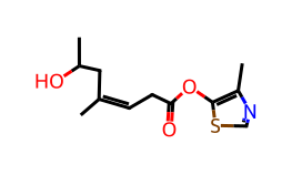 CC(=CCC(=O)Oc1scnc1C)CC(C)O